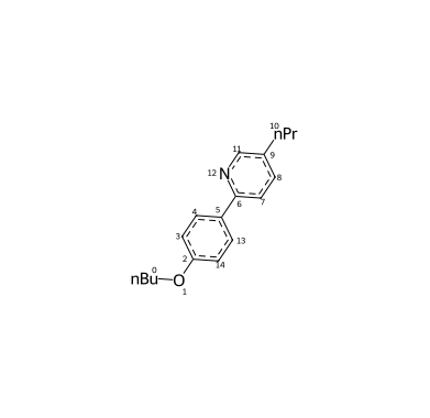 CCCCOc1ccc(-c2ccc(CCC)cn2)cc1